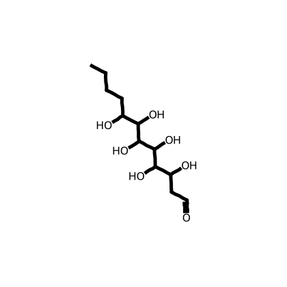 CCCCC(O)C(O)C(O)C(O)C(O)C(O)CC=O